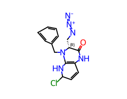 [N-]=[N+]=NC[C@@H]1C(=O)NC2=C(NC(Cl)C=C2)N1Cc1ccccc1